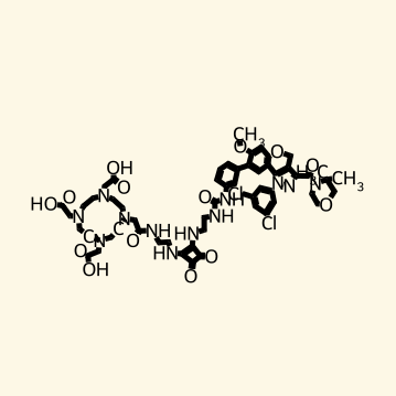 COc1cc2c(cc1-c1cccc(NC(=O)NCCNc3c(NCCNC(=O)CN4CCN(CC(=O)O)CCN(CC(=O)O)CCN(CC(=O)O)CC4)c(=O)c3=O)c1)-c1c(c(C(=O)N3CCOCC3(C)C)nn1-c1cc(Cl)cc(Cl)c1)CO2